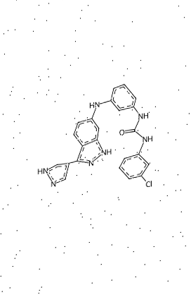 O=C(Nc1cccc(Cl)c1)Nc1cccc(Nc2ccc3c(-c4cn[nH]c4)n[nH]c3c2)c1